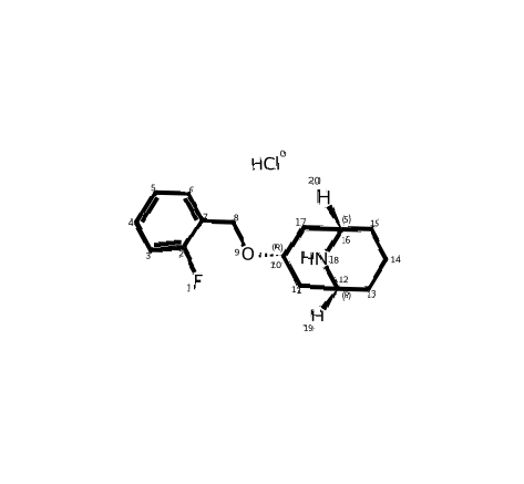 Cl.Fc1ccccc1CO[C@H]1C[C@H]2CCC[C@@H](C1)N2